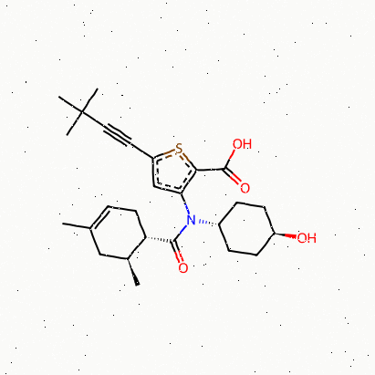 CC1=CC[C@H](C(=O)N(c2cc(C#CC(C)(C)C)sc2C(=O)O)[C@H]2CC[C@H](O)CC2)[C@@H](C)C1